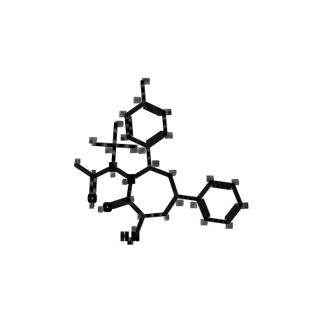 CC(=O)N(N1C(=O)C(N)CC(c2ccccc2)CC1c1ccc(C)cc1)C(C)(C)C